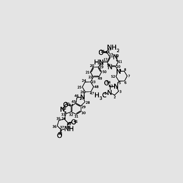 CN1CCN([C@@H]2CCCN(c3cnc(C(N)=O)c(Nc4ccc(C5CCC(N6Cc7ccc8c(C9CCC(=O)NC9=O)noc8c7C6)CC5)cc4)n3)C2)C1=O